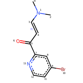 CN(C)/C=C/C(=O)c1cc(Br)ccn1